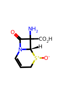 NC1(C(=O)O)C(=O)N2C=CC[S+]([O-])[C@H]21